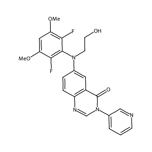 COc1cc(OC)c(F)c(N(CCO)c2ccc3ncn(-c4cccnc4)c(=O)c3c2)c1F